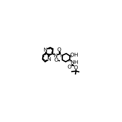 CON(C(=O)[C@H]1CC[C@H](NC(=O)OC(C)(C)C)[C@H](O)C1)c1ccnc2cccnc12